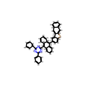 c1ccc(-c2nc(-c3ccccc3)nc(-c3c4ccccc4c(-c4ccc5sc6cc7ccccc7cc6c5c4)c4ccccc34)n2)cc1